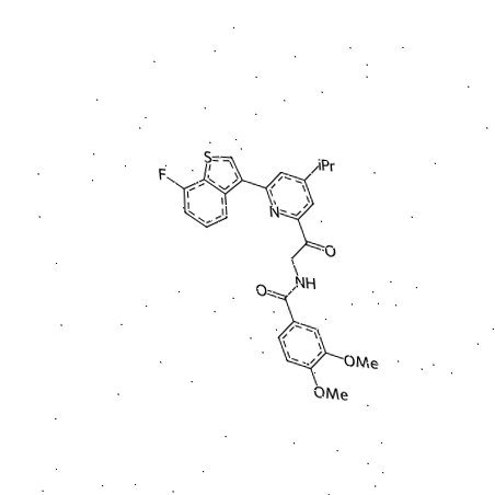 COc1ccc(C(=O)NCC(=O)c2cc(C(C)C)cc(-c3csc4c(F)cccc34)n2)cc1OC